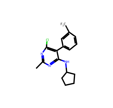 Cc1nc(Cl)c(-c2cccc(C(F)(F)F)c2)c(NC2CCCC2)n1